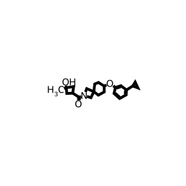 CC1(O)CC(C(=O)N2CC3(CCC(Oc4cccc(C5CC5)c4)CC3)C2)C1